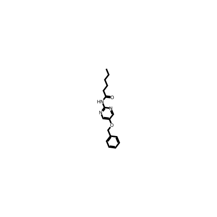 CCCCCC(=O)Nc1ncc(OCc2ccccc2)cn1